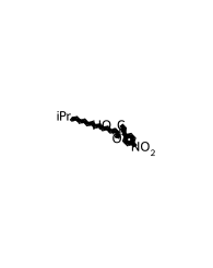 CC(C)CCCCCCCCCCCCC(=O)N(CC(=O)O)c1ccc([N+](=O)[O-])cc1